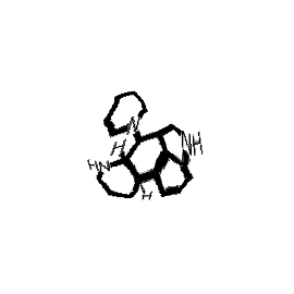 c1cc2c3c(c[nH]c3c1)C(N1CCCCC1)[C@H]1NCCC[C@H]21